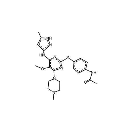 COc1c(Nc2cc(C)[nH]n2)nc(Sc2ccc(NC(C)=O)cc2)nc1N1CCN(C)CC1